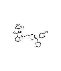 O=C(Nc1nnn[nH]1)c1cccnc1OCCN1CCN(C(c2ccccc2)c2ccc(Cl)cc2)CC1